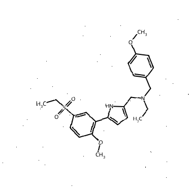 CCN(Cc1ccc(OC)cc1)Cc1ccc(-c2cc(S(=O)(=O)CC)ccc2OC)[nH]1